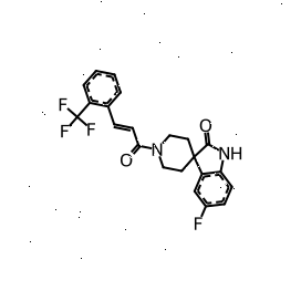 O=C(C=Cc1ccccc1C(F)(F)F)N1CCC2(CC1)C(=O)Nc1ccc(F)cc12